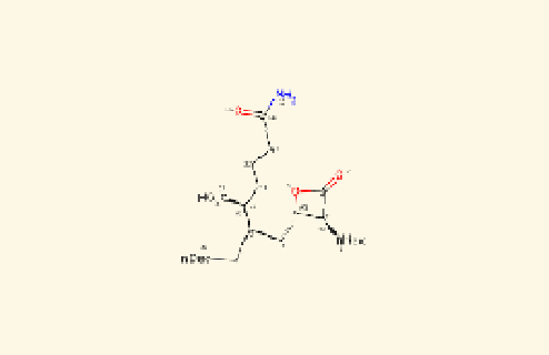 CCCCCCCCCCCC(C[C@@H]1OC(=O)[C@H]1CCCCCC)[C@H](CCCC(N)=O)C(=O)O